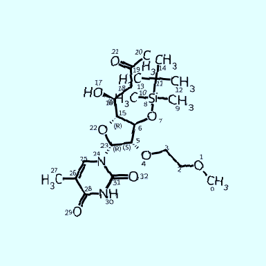 COCCO[C@H]1C(O[Si](C)(C)C(C)(C)C)[C@@H]([C@@H](O)CC(C)=O)O[C@H]1n1cc(C)c(=O)[nH]c1=O